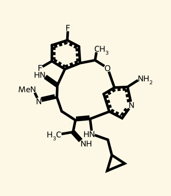 CN/N=C1/C/C(C(C)=N)=C(/NCC2CC2)c2cnc(N)c(c2)OC(C)c2cc(F)cc(F)c2C1=N